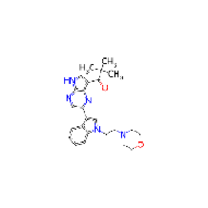 CC(C)(C)C(=O)c1c[nH]c2ncc(-c3cn(CCN4CCOCC4)c4ccccc34)nc12